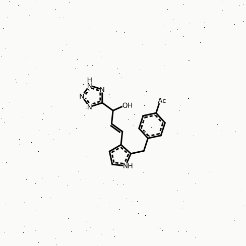 CC(=O)c1ccc(Cc2[nH]ccc2C=CC(O)c2nn[nH]n2)cc1